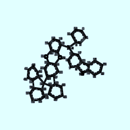 c1ccc(N(c2ccc3sc4ccccc4c3c2)c2cccc3c2Oc2cc4c(cc2O3)C2(c3ccccc3-c3ccccc32)c2ccccc2-4)cc1